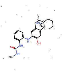 CCCCNC(=O)Nc1ccccc1Nc1cc2c(cc1O)[C@]13CCCC[C@@H]1[C@H](C2)NCC3